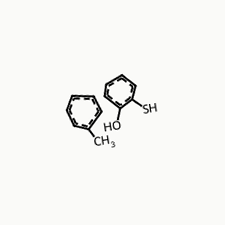 Cc1ccccc1.Oc1ccccc1S